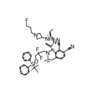 C=C(/N=C\C(=C/C)NC1CN(CCCF)C1)[C@@H]1c2c(ccc(C#N)c2C#N)C[C@@H](C)N1CC(F)(F)CO[Si](c1ccccc1)(c1ccccc1)C(C)(C)C